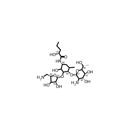 CCC[C@H](O)C(=O)N[C@@H]1CC(C)[C@@H](O[C@H]2OC([C@@H](C)O)[C@@H](O)[C@H](O)C2N)C(O[C@@H]2O[C@H](CN)C(O)[C@@H]2O)C1O